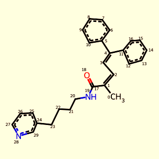 CC(=CC=C(c1ccccc1)c1ccccc1)C(=O)NCCCCc1cccnc1